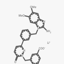 COc1cc2nc(N)n(Cc3cccc(-c4ccc(=O)n(Cc5cccc(C(=O)[O-])c5)n4)c3)c2cc1OC.[Li+]